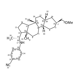 COC[C@H]1CC[C@@H]2C3CC[C@@]4(C)C(CCC4[C@@H](C)Nc4ccc(C#N)cc4)[C@@H]3CC[C@@H]2C1